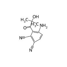 CC(C)(O)C(=O)c1c(N)ccc(C#N)c1C#N